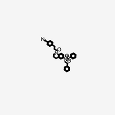 N#Cc1ccc(CCC(=O)N2CCCc3cc(N(CCc4ccccc4)S(=O)(=O)c4ccccc4)ccc32)cc1